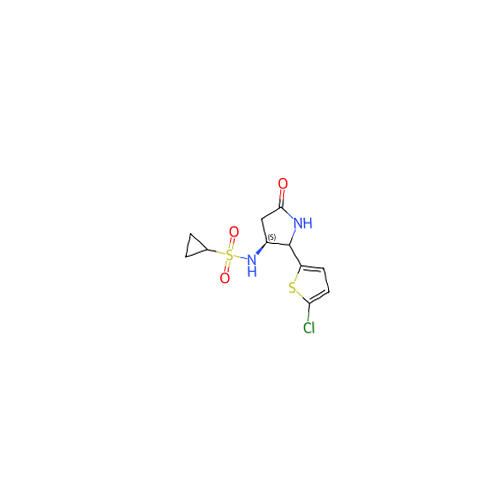 O=C1C[C@H](NS(=O)(=O)C2CC2)C(c2ccc(Cl)s2)N1